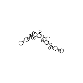 CCc1c2c(nc3ccc(OC(=O)N4CCC(N5CCCCC5)CC4)cc13)-c1cc3c(c(=O)n1C2)COC(=O)[C@@]3(CC)OC(=O)N1CCC(N2CCCCC2)CC1